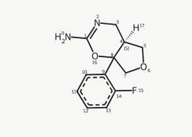 NC1=NC[C@H]2COCC2(c2ccccc2F)O1